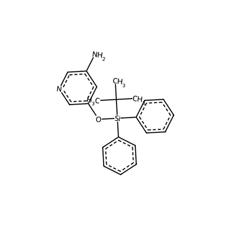 CC(C)(C)[Si](Oc1cncc(N)c1)(c1ccccc1)c1ccccc1